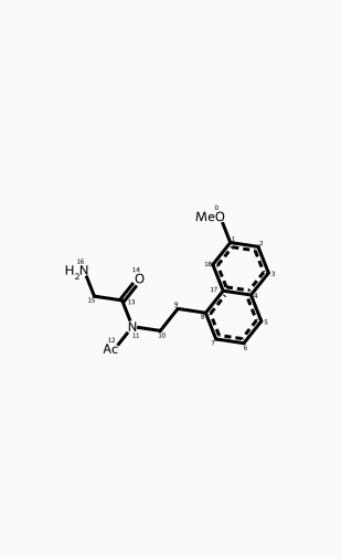 COc1ccc2cccc(CCN(C(C)=O)C(=O)CN)c2c1